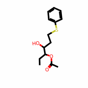 CCC(OC(C)=O)C(O)CCSc1ccccc1